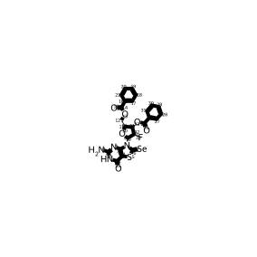 Nc1nc2c(sc(=[Se])n2[C@@H]2O[C@H](COC(=O)c3ccccc3)[C@@H](OC(=O)c3ccccc3)[C@@H]2F)c(=O)[nH]1